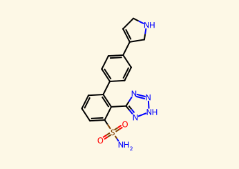 NS(=O)(=O)c1cccc(-c2ccc(C3=CCNC3)cc2)c1-c1nn[nH]n1